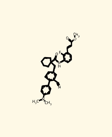 COC(=O)/C=C/c1cccc(NC(=O)C2(Cc3ccc(-c4ccc(N(C)C)cc4)c(C#N)c3)CCCCC2)c1F